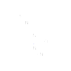 CC(=O)N1CCN(/C(C)=N/C#N)CC1